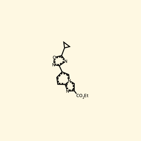 CCOC(=O)c1cn2cc(-c3noc(C4CC4)n3)ccc2n1